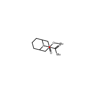 CC(C)(C)OC(=O)N1C2CCCC1CN(C(=O)C(C)(C)C)C2